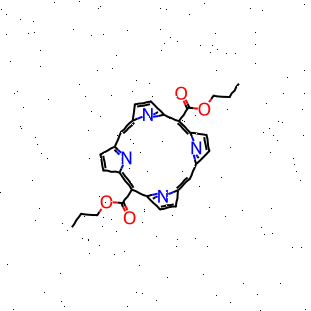 CCCOC(=O)C1=C2C=CC(=N2)C=C2C=CC(=N2)C(C(=O)OCCC)=C2C=CC(=N2)C=C2C=CC1=N2